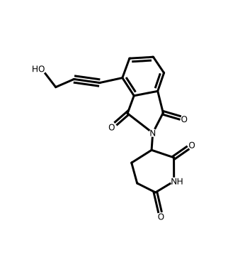 O=C1CCC(N2C(=O)c3cccc(C#CCO)c3C2=O)C(=O)N1